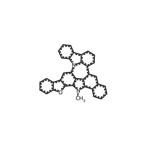 Cn1c2c3ccccc3cc3c4cccc5c6ccccc6n(c6cc7c8ccccc8oc7c1c6c32)c45